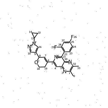 Cc1nc2cc(C3=CC(c4cnn(C5CC5)c4)OCC3)nc(-c3ccc(F)cc3F)c2nc1C